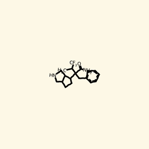 CC(C(F)(F)F)C(Cc1ccccc1)(C(N)=O)C1CCC2CNCC21